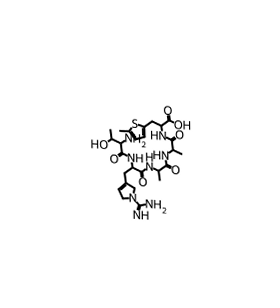 Cc1ccc(CC(NC(=O)C(C)NC(=O)C(C)NC(=O)C(CC2=CCN(C(=N)N)C2)NC(=O)C(N)C(C)O)C(=O)O)s1